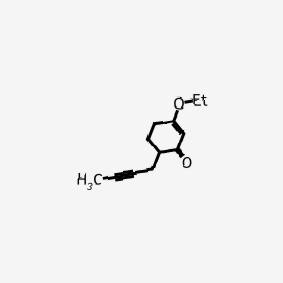 CC#CCC1CCC(OCC)=CC1=O